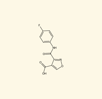 O=C(O)c1conc1C(=O)Nc1ccc(F)cc1